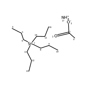 CC(=O)[O-].CC[CH2][Sn]([CH2]CC)([CH2]CC)[CH2]CC.[NH4+]